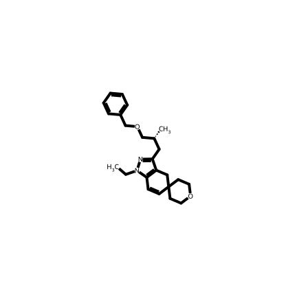 CCn1nc(C[C@@H](C)COCc2ccccc2)c2c1C=CC1(CCOCC1)C2